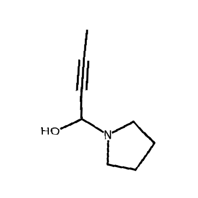 CC#CC(O)N1CCCC1